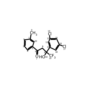 Cc1cccc(C(=O)CC(O)(c2cc(Cl)cc(Cl)c2)C(F)(F)F)c1